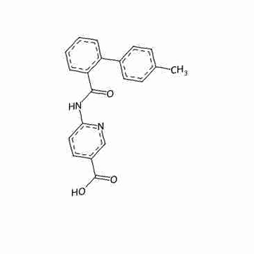 Cc1ccc(-c2ccccc2C(=O)Nc2ccc(C(=O)O)cn2)cc1